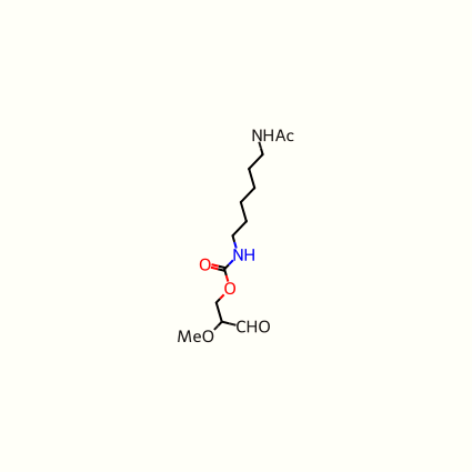 COC(C=O)COC(=O)NCCCCCCNC(C)=O